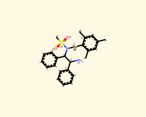 Cc1cc(C)[c]([RuH][N](C(c2ccccc2)C(N)c2ccccc2)S(C)(=O)=O)c(C)c1